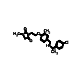 Cc1cc(CN[C@@H](C)c2ccc(Cl)cc2)ccc1OCCN1C(=O)CN(C)C1=O